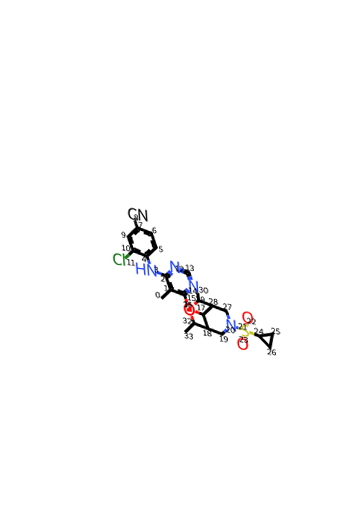 Cc1c(Nc2ccc(C#N)cc2Cl)ncnc1OC1C2CN(S(=O)(=O)C3CC3)CC1C(C)OC2C